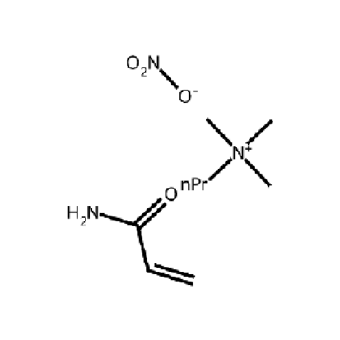 C=CC(N)=O.CCC[N+](C)(C)C.O=[N+]([O-])[O-]